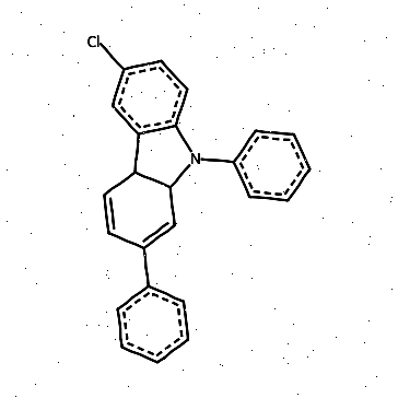 Clc1ccc2c(c1)C1C=CC(c3ccccc3)=CC1N2c1ccccc1